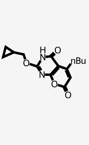 CCCCc1cc(=O)oc2nc(OCC3CC3)[nH]c(=O)c12